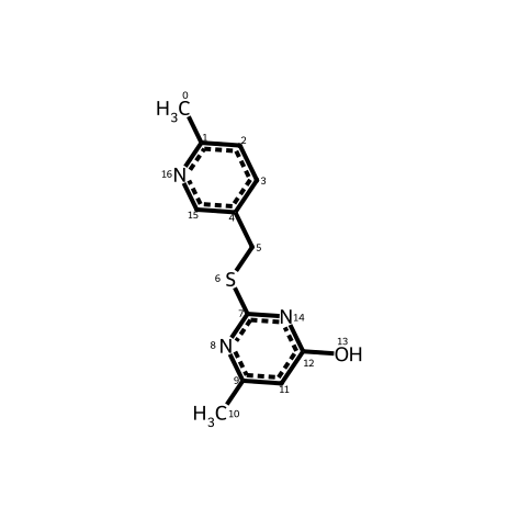 Cc1ccc(CSc2nc(C)cc(O)n2)cn1